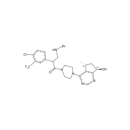 CC(C)NCC(C(=O)N1CCN(c2ncnc3c2[C@H](C)C[C@H]3O)CC1)c1ccc(Cl)c(C(F)(F)F)c1